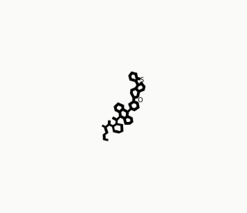 C=C(/C(C)=C/C=C\C)C1C=CC=CC1C(=C)c1c2ccccc2c(-c2ccc3oc4c(ccc5c4ccc4sc6ccccc6c45)c3c2)c2ccccc12